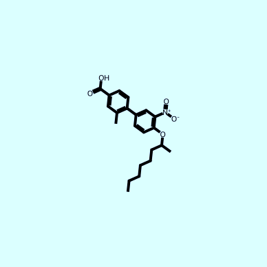 CCCCCCC(C)Oc1ccc(-c2ccc(C(=O)O)cc2C)cc1[N+](=O)[O-]